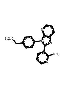 CCOC(=O)Cc1ccc(-n2c(-c3cccnc3N)nc3cccnc32)cc1